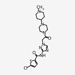 CN1CCC(N2CCN(C(=O)Cn3cnc(NC(=O)c4ccc(Cl)s4)n3)CC2)CC1